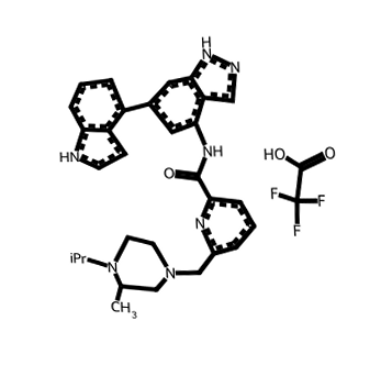 CC(C)N1CCN(Cc2cccc(C(=O)Nc3cc(-c4cccc5[nH]ccc45)cc4[nH]ncc34)n2)CC1C.O=C(O)C(F)(F)F